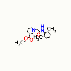 CCOC(=O)C1CCCN(CC(=O)Nc2c(C)cccc2C)C1